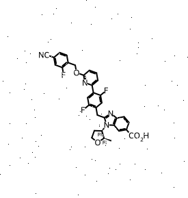 C[C@H]1OCC[C@H]1n1c(Cc2cc(F)c(-c3cccc(OCc4ccc(C#N)cc4F)n3)cc2F)nc2ccc(C(=O)O)cc21